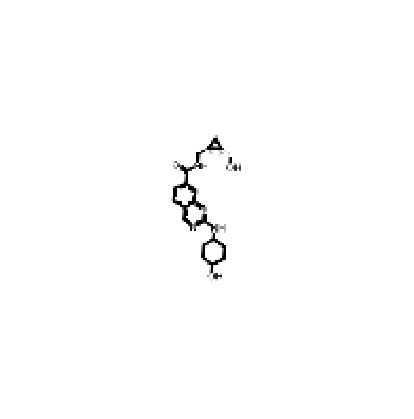 O=C(NC[C@H]1C[C@@H]1CO)c1ccc2cnc(NC3CCC(O)CC3)nc2c1